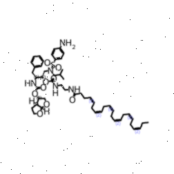 CC/C=C\C/C=C\C/C=C\C/C=C\C/C=C\C/C=C\CCC(=O)NCCNC(=O)O[C@H](CN(CC(C)C)S(=O)(=O)c1ccc(N)cc1)[C@H](Cc1ccccc1)NC(=O)O[C@H]1CO[C@H]2OCC[C@H]21